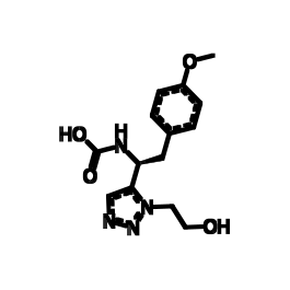 COc1ccc(C[C@H](NC(=O)O)c2cnnn2CCO)cc1